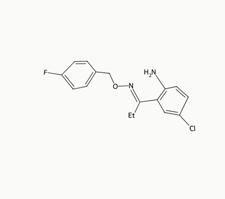 CC/C(=N\OCc1ccc(F)cc1)c1cc(Cl)ccc1N